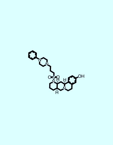 O=S(=O)(CCCN1CCN(c2ccccc2)CC1)N1CCC[C@@H]2CN3CCc4cc(O)ccc4[C@@H]3C[C@@H]21